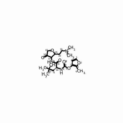 Cc1occc1OC(=O)N[C@@H](CC(C)(C)C)C(=O)NC1C(=O)COC1CCN(C)C